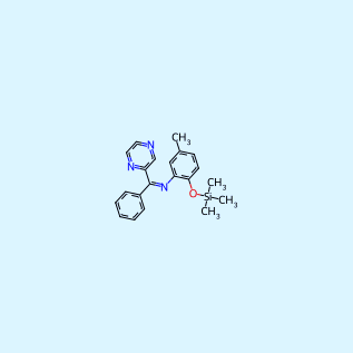 Cc1ccc(O[Si](C)(C)C)c(N=C(c2ccccc2)c2cnccn2)c1